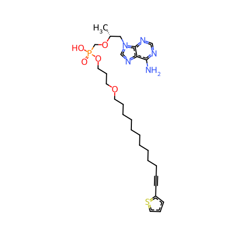 C[C@H](Cn1cnc2c(N)ncnc21)OCP(=O)(O)OCCCOCCCCCCCCCCC#Cc1cccs1